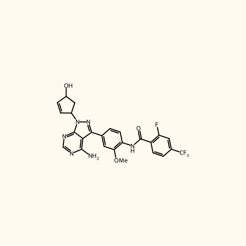 COc1cc(-c2nn(C3C=CC(O)C3)c3ncnc(N)c23)ccc1NC(=O)c1ccc(C(F)(F)F)cc1F